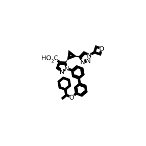 CC(Oc1cccc(-c2cccc(-n3ncc(C(=O)O)c3[C@@H]3C[C@H]3c3cn(C4COC4)nn3)c2)c1)C1CCCCC1